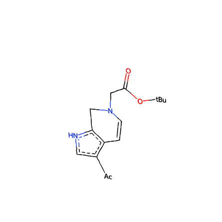 CC(=O)c1c[nH]c2c1C=CN(CC(=O)OC(C)(C)C)C2